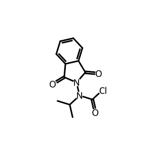 CC(C)N(C(=O)Cl)N1C(=O)c2ccccc2C1=O